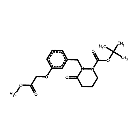 COC(=O)COc1cccc(CN2C(=O)CCCN2C(=O)OC(C)(C)C)c1